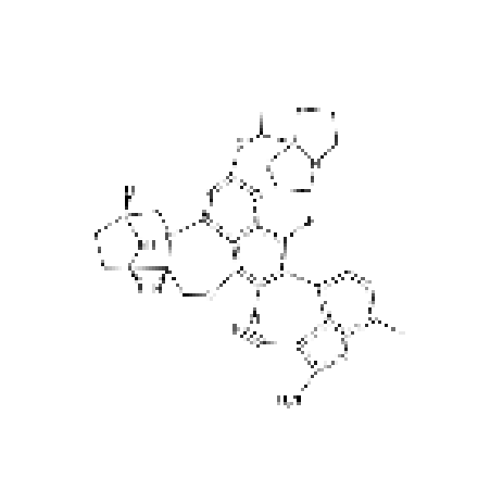 CC(Oc1nc2c3c(c(Cl)c(-c4ccc(F)c5sc(N)c(C#N)c45)c(F)c3n1)OC[C@@H]1[C@@H]3CC[C@H](CN21)N3)C12CCCN1CCC2